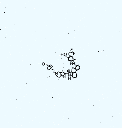 COCC12CCC(CCN3CCc4c(nc(C(=O)Nc5cccc(-c6cccc(-c7nc8cc(CO)c(OC(F)F)cc8o7)c6F)c5Cl)n4C)C3)(CC1)C2